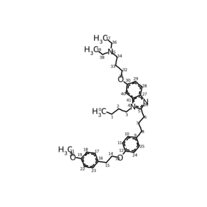 CCCCn1c(CCCc2ccc(OCCc3ccc(OC)cc3)cc2)nc2ccc(OCCCN(CC)CC)cc21